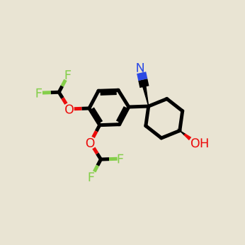 N#C[C@]1(c2ccc(OC(F)F)c(OC(F)F)c2)CC[C@H](O)CC1